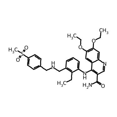 CCOc1cc2ncc(C(N)=O)c(Nc3cccc(CNCc4ccc(S(C)(=O)=O)cc4)c3CC)c2cc1OCC